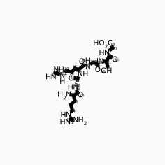 N=C(N)NCCCC(N)C(=O)NCC(=O)NC(CCCNC(=N)N)C(=O)NCC(=O)NC(CO)C(=O)NCC(=O)O